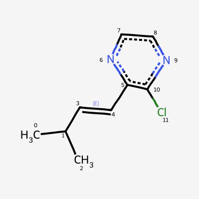 CC(C)/C=C/c1nccnc1Cl